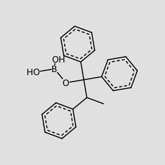 CC(c1ccccc1)C(OB(O)O)(c1ccccc1)c1ccccc1